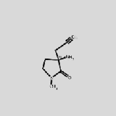 C#CC[C@@]1(N)CCN(C)C1=O